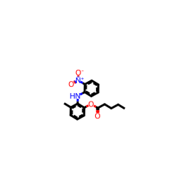 CCCCC(=O)Oc1cccc(C)c1Nc1ccccc1[N+](=O)[O-]